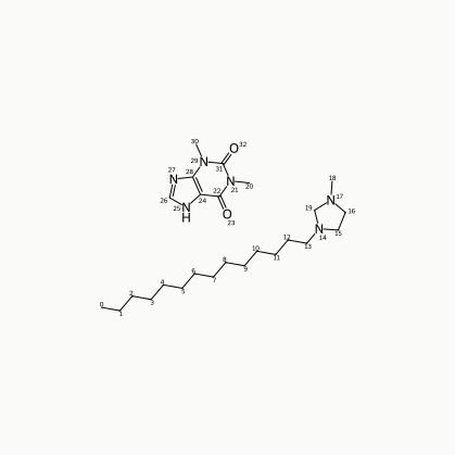 CCCCCCCCCCCCCCN1CCN(C)C1.Cn1c(=O)c2[nH]cnc2n(C)c1=O